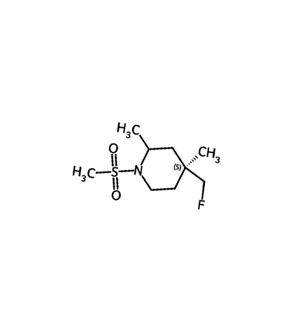 CC1C[C@@](C)(CF)CCN1S(C)(=O)=O